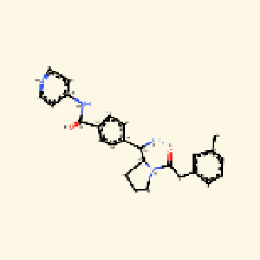 Cc1cccc(CC(=O)N2CCCC2C(N)c2ccc(C(=O)Nc3ccncc3)cc2)c1